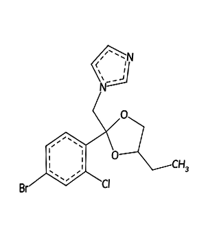 CCC1COC(Cn2ccnc2)(c2ccc(Br)cc2Cl)O1